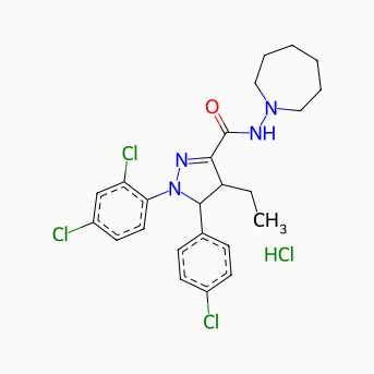 CCC1C(C(=O)NN2CCCCCC2)=NN(c2ccc(Cl)cc2Cl)C1c1ccc(Cl)cc1.Cl